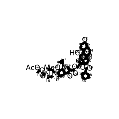 COc1c(N2CCN(C(=O)OC(C)OC(C)=O)C(C)C2)c(F)cc2c(=O)c(C(=O)OCC(=O)[C@]3(OC(=O)c4ccccc4)CC[C@@H]4[C@H]5CCC6=CC(=O)CC[C@@]6(C)[C@@H]5[C@H](O)C[C@]43C)cn(C3CC3)c12